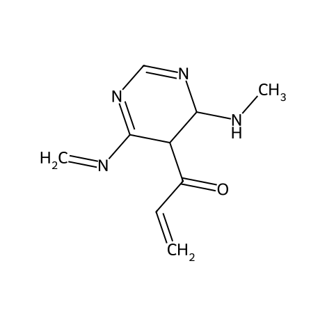 C=CC(=O)C1C(N=C)=NC=NC1NC